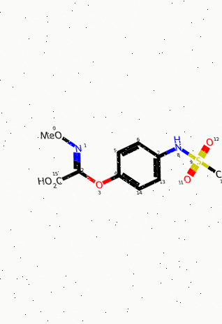 CON=C(Oc1ccc(NS(C)(=O)=O)cc1)C(=O)O